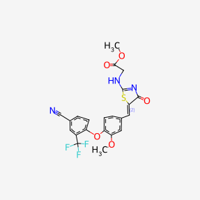 COC(=O)CNC1=NC(=O)/C(=C/c2ccc(Oc3ccc(C#N)cc3C(F)(F)F)c(OC)c2)S1